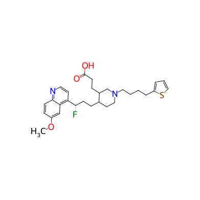 COc1ccc2nccc([C@@H](F)CCC3CCN(CCCCc4cccs4)CC3CCC(=O)O)c2c1